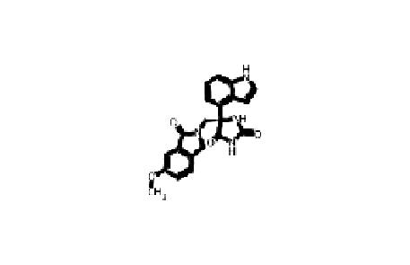 COc1ccc2c(c1)C(=O)N(C[C@@]1(c3cccc4[nH]ccc34)NC(=O)NC1=O)C2